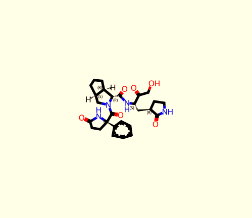 O=C1CC[C@](C(=O)N2C[C@H]3CCC[C@H]3[C@@H]2C(=O)N[C@@H](C[C@H]2CCNC2=O)C(=O)CO)(c2ccccc2)N1